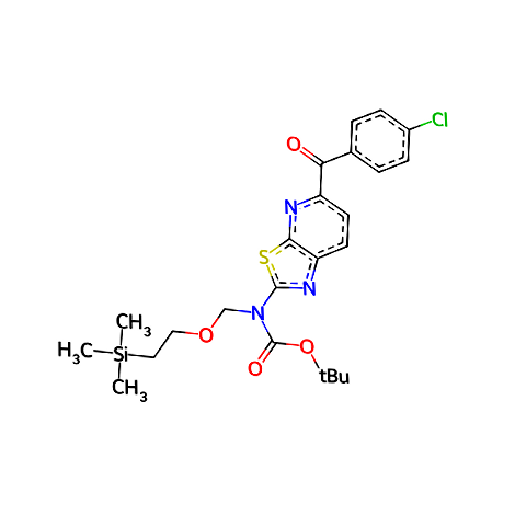 CC(C)(C)OC(=O)N(COCC[Si](C)(C)C)c1nc2ccc(C(=O)c3ccc(Cl)cc3)nc2s1